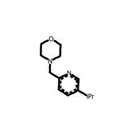 CC(C)c1ccc(CN2CCOCC2)nc1